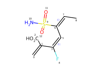 C=C(C(=O)O)/C(F)=C\C(=C/C)S(N)(=O)=O